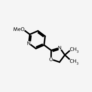 COc1ccc(C2=NC(C)(C)CO2)cn1